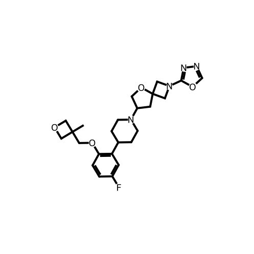 CC1(COc2ccc(F)cc2C2CCN(C3COC4(C3)CN(c3nnco3)C4)CC2)COC1